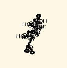 COC(=O)C1O[C@@H](O[C@@H]2C(COS(=O)(=O)O)O[C@H](OCCCCCN(Cc3ccccc3)C(=O)OCc3ccccc3)C(C)[C@H]2C)C(OC(C)=O)[C@@H](C)[C@@H]1O[C@H]1OC(COS(=O)(=O)O)[C@@H](O[C@@H]2OC(C)[C@@H](O)[C@@H](OCc3ccccc3)C2OC(C)=O)[C@H](C)C1N=[N+]=[N-]